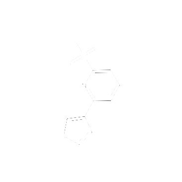 O=S(=O)(O)c1cccc(-c2ccsc2)n1